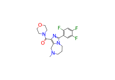 CN1CCCn2c(-c3cc(F)c(F)cc3F)nc(C(=O)N3CCOCC3)c2C1